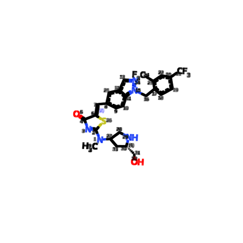 CN(C1=NC(=O)/C(=C/c2ccc3c(cnn3Cc3ccc(C(F)(F)F)cc3C(F)(F)F)c2)S1)C1CN[C@H](CO)C1